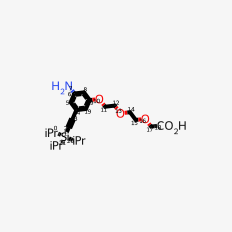 CC(C)[Si](C#Cc1cc(N)cc(OCCOCCOCC(=O)O)c1)(C(C)C)C(C)C